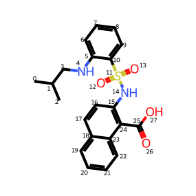 CC(C)CNc1ccccc1S(=O)(=O)Nc1ccc2ccccc2c1C(=O)O